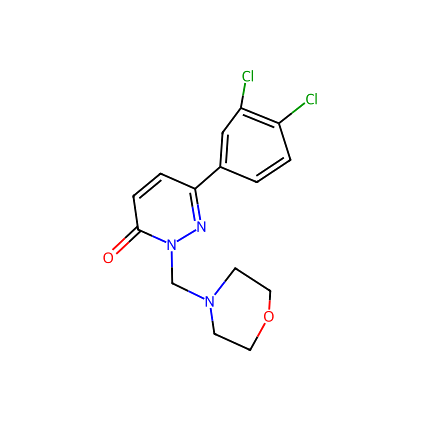 O=c1ccc(-c2ccc(Cl)c(Cl)c2)nn1CN1CCOCC1